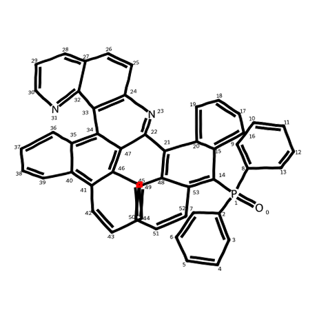 O=P(c1ccccc1)(c1ccccc1)c1c2ccccc2c(-c2nc3ccc4cccnc4c3c3c4ccccc4c4ccccc4c23)c2ccccc12